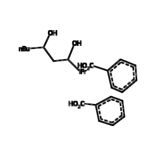 CCCCC(O)CC(O)C(C)C.O=C(O)c1ccccc1.O=C(O)c1ccccc1